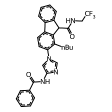 CCCCc1c(-n2cnc(NC(=O)c3ccccc3)c2)ccc2c1C(C(=O)NCC(F)(F)F)c1ccccc1-2